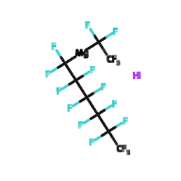 FC(F)(F)[C](F)(F)[Mg][C](F)(F)C(F)(F)C(F)(F)C(F)(F)C(F)(F)C(F)(F)F.I